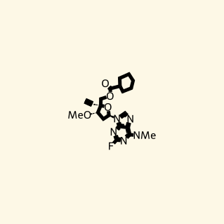 C#C[C@]1(COC(=O)C2CCCCC2)O[C@@H](n2cnc3c(NC)nc(F)nc32)C[C@@H]1OC